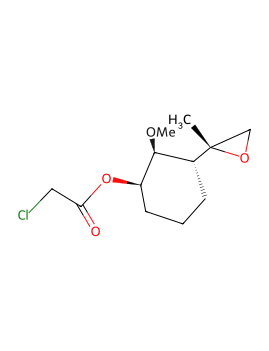 CO[C@H]1[C@H]([C@]2(C)CO2)CCC[C@H]1OC(=O)CCl